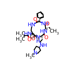 CC[C@@H]1NC(=O)[C@H](CCNC2CCN(C)CC2)NC(=O)[C@](C)(NC(=O)C(C)C)CCNC(=O)[C@@H](c2ccccc2)NC1=O